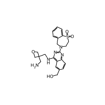 NCC1(CNc2nc(N3CCS(=O)(=O)c4ccccc4C3)nc3ccc(CO)cc23)COC1